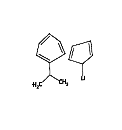 [CH2]C(C)c1ccccc1.[Li][CH]1C=CC=C1